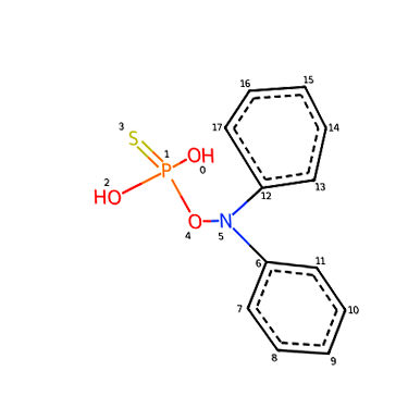 OP(O)(=S)ON(c1ccccc1)c1ccccc1